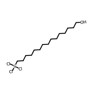 OCCCCCCCCCCCCCCC[Si](Cl)(Cl)Cl